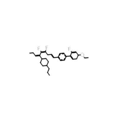 CC/C=C(\C(F)=C(\F)C/C=C/c1ccc(C2=CCC(OCC)C=C2F)cc1)C1CCC(CCC)CC1